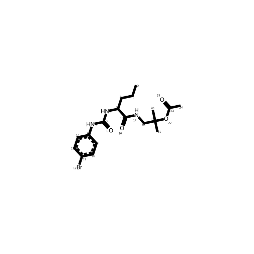 CCCC(NC(=O)Nc1ccc(Br)cc1)C(=O)NCC(C)(C)OC(C)=O